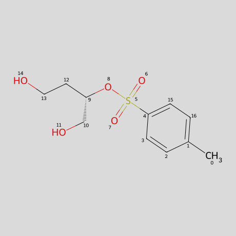 Cc1ccc(S(=O)(=O)O[C@H](CO)CCO)cc1